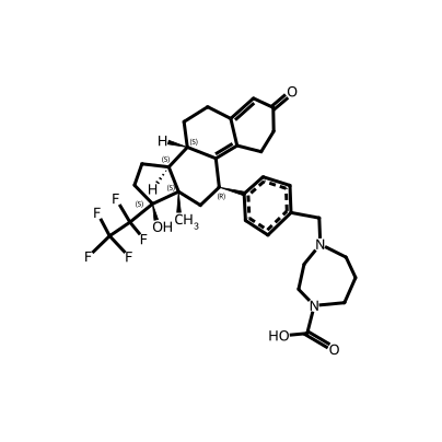 C[C@]12C[C@H](c3ccc(CN4CCCN(C(=O)O)CC4)cc3)C3=C4CCC(=O)C=C4CC[C@H]3[C@@H]1CC[C@@]2(O)C(F)(F)C(F)(F)F